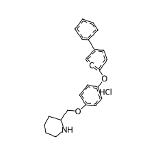 Cl.c1ccc(-c2ccc(Oc3ccc(OCC4CCCCN4)cc3)cc2)cc1